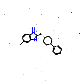 Cc1ccc2[nH]c(C[C@H]3CC[C@H](c4ccccc4)CC3)nc2c1